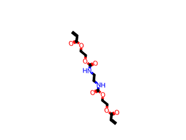 C=CC(=O)OCCOC(=O)NCCNC(=O)OCCOC(=O)C=C